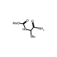 COC(=O)NC(C(N)=O)C(C)(C)C